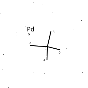 CC(C)(C)C.[Pd]